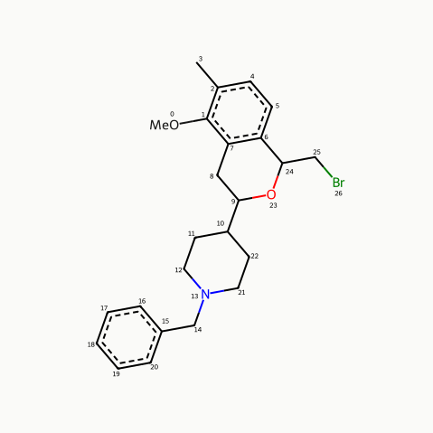 COc1c(C)ccc2c1CC(C1CCN(Cc3ccccc3)CC1)OC2CBr